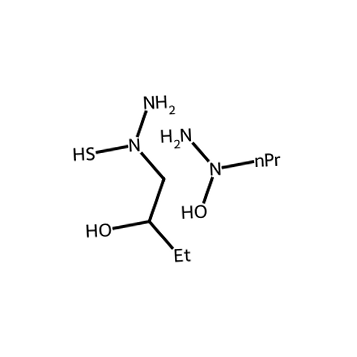 CCC(O)CN(N)S.CCCN(N)O